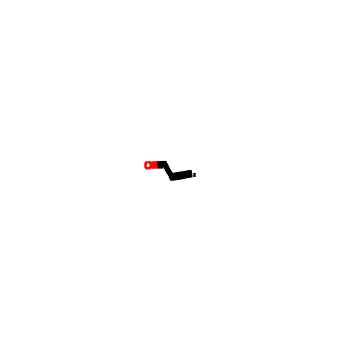 [C]=CC=O